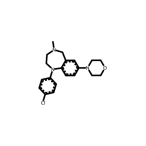 CN1CCN(c2ccc(Cl)cc2)c2ccc(N3CCOCC3)cc2C1